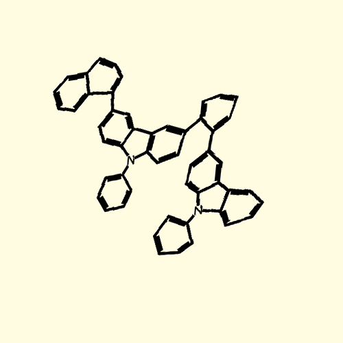 c1ccc(-n2c3ccccc3c3cc(-c4ccccc4-c4ccc5c(c4)c4cc(-c6cccc7ccccc67)ccc4n5-c4ccccc4)ccc32)cc1